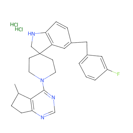 CC1CCc2ncnc(N3CCC4(CC3)CNc3ccc(Cc5cccc(F)c5)cc34)c21.Cl.Cl